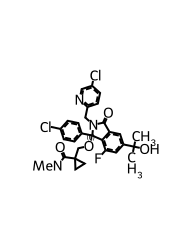 CNC(=O)C1(CO[C@]2(c3ccc(Cl)cc3)c3c(F)cc(C(C)(C)O)cc3C(=O)N2Cc2ccc(Cl)cn2)CC1